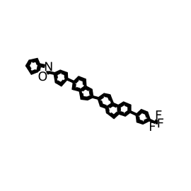 FC(F)(F)c1ccc(-c2ccc3c(ccc4cc(-c5ccc6cc(-c7ccc(-c8nc9ccccc9o8)cc7)ccc6c5)ccc43)c2)cc1